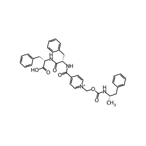 C[C@@H](Cc1ccccc1)NC(=O)OC[n+]1ccc(C(=O)N[C@@H](Cc2ccccc2)C(=O)N[C@@H](Cc2ccccc2)C(=O)O)cc1